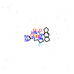 CN1CCC(F)C1CN(c1cnn(C)c1)S(=O)(=O)[NH+]([O-])C(=O)Nc1c2c(cc3c1CCC3)CCC2